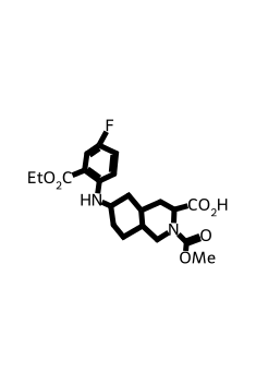 CCOC(=O)c1cc(F)ccc1NC1CCC2CN(C(=O)OC)C(C(=O)O)CC2C1